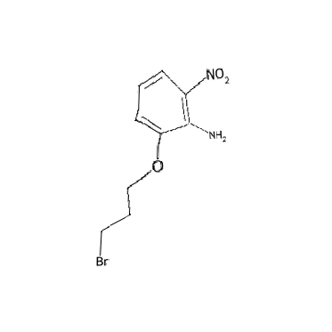 Nc1c(OCCCBr)cccc1[N+](=O)[O-]